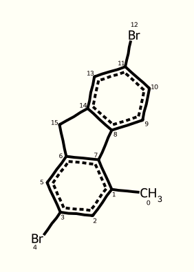 Cc1cc(Br)cc2c1-c1ccc(Br)cc1C2